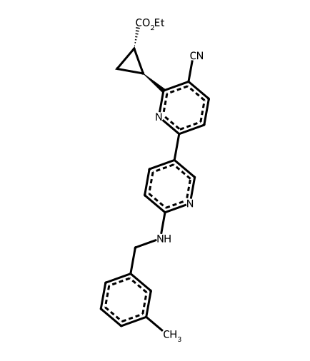 CCOC(=O)[C@H]1C[C@@H]1c1nc(-c2ccc(NCc3cccc(C)c3)nc2)ccc1C#N